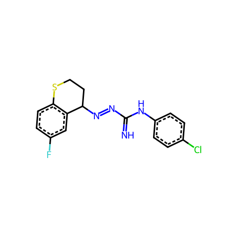 N=C(N=NC1CCSc2ccc(F)cc21)Nc1ccc(Cl)cc1